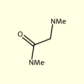 C[N]C(=O)CNC